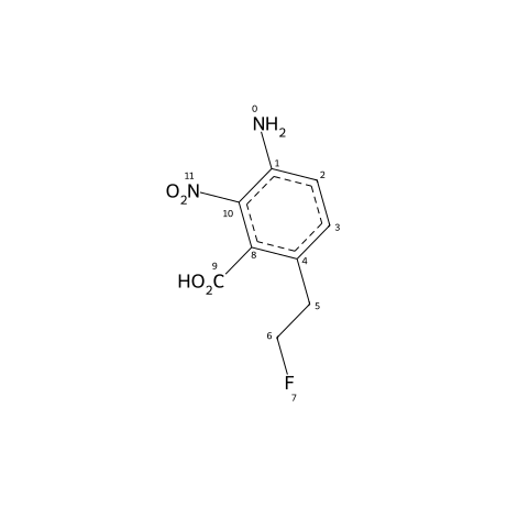 Nc1ccc(CCF)c(C(=O)O)c1[N+](=O)[O-]